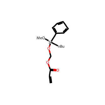 C=CC(=O)OCO[Si](CCCC)(OC)c1ccccc1